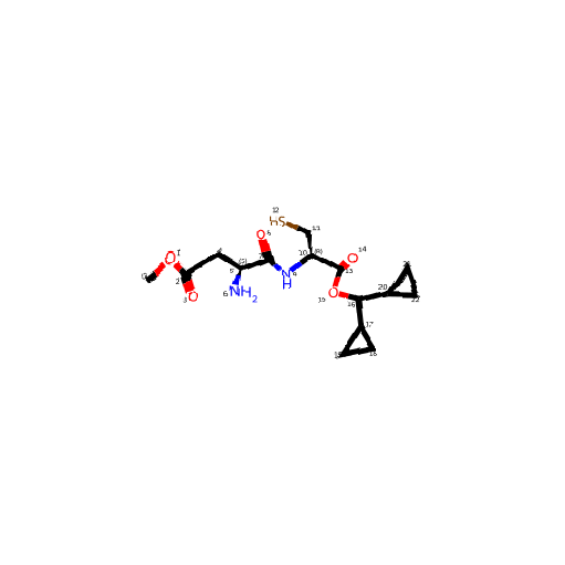 COC(=O)C[C@H](N)C(=O)N[C@@H](CS)C(=O)OC(C1CC1)C1CC1